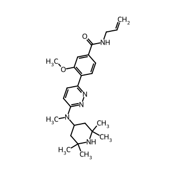 C=CCNC(=O)c1ccc(-c2ccc(N(C)C3CC(C)(C)NC(C)(C)C3)nn2)c(OC)c1